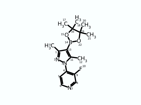 Cc1nn(-c2ccncc2F)c(C)c1B1OC(C)(C)C(C)(C)O1